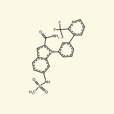 CS(=O)(=O)Nc1ccc2cc(C(N)=O)n(-c3cccc(-c4cccnc4C(F)(F)F)c3)c2c1